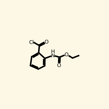 CCOC(=O)Nc1ccccc1C(=O)Cl